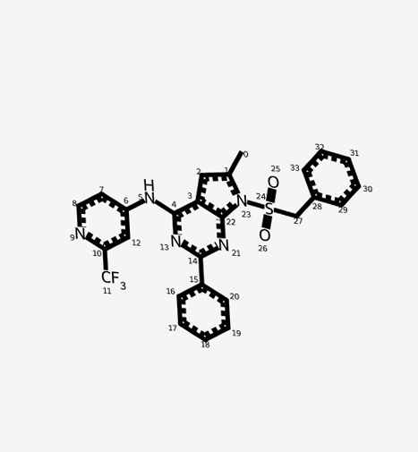 Cc1cc2c(Nc3ccnc(C(F)(F)F)c3)nc(-c3ccccc3)nc2n1S(=O)(=O)Cc1ccccc1